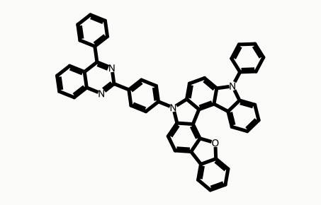 c1ccc(-c2nc(-c3ccc(-n4c5ccc6c7ccccc7oc6c5c5c6c7ccccc7n(-c7ccccc7)c6ccc54)cc3)nc3ccccc23)cc1